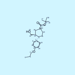 CCCOc1ccc([C@H]2CCN(C(=O)OC(C)(C)C)C[C@@H]2CO)cc1